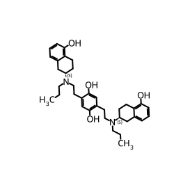 CCCN(CCc1cc(O)c(CCN(CCC)[C@H]2CCc3c(O)cccc3C2)cc1O)[C@H]1CCc2c(O)cccc2C1